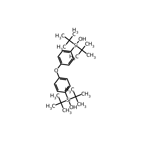 CC(C)(C)[Si](O)(c1ccc(Oc2ccc([Si](O)(C(C)(C)C)C(C)(C)C)cc2)cc1)C(C)(C)C